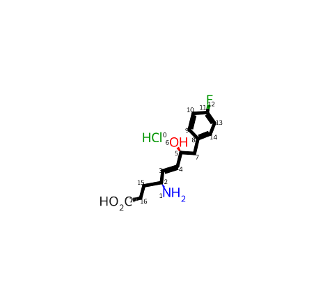 Cl.N[C@@H](/C=C/[C@@H](O)Cc1ccc(F)cc1)CCC(=O)O